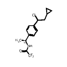 C[C@H](NC(=O)C(F)(F)F)c1ccc(C(Cl)CC2CC2)cc1